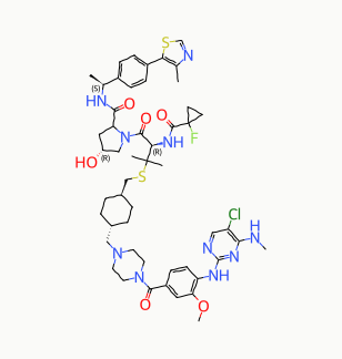 CNc1nc(Nc2ccc(C(=O)N3CCN(C[C@H]4CC[C@H](CSC(C)(C)[C@H](NC(=O)C5(F)CC5)C(=O)N5C[C@H](O)CC5C(=O)N[C@@H](C)c5ccc(-c6scnc6C)cc5)CC4)CC3)cc2OC)ncc1Cl